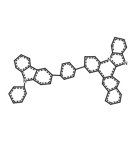 c1ccc(-n2c3ccccc3c3cc(-c4ccc(-c5ccc6c(c5)c5cc7ccccc7cc5c5nc7ccccc7n65)cc4)ccc32)cc1